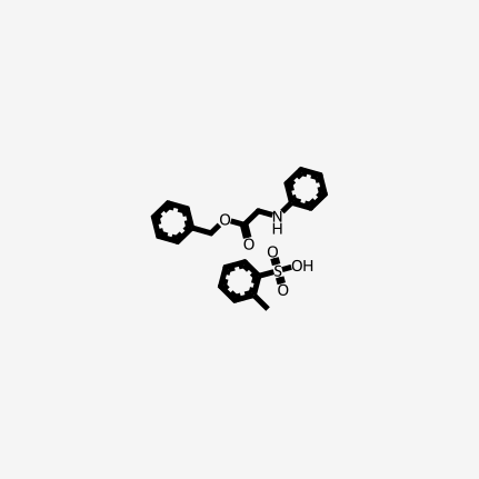 Cc1ccccc1S(=O)(=O)O.O=C(CNc1ccccc1)OCc1ccccc1